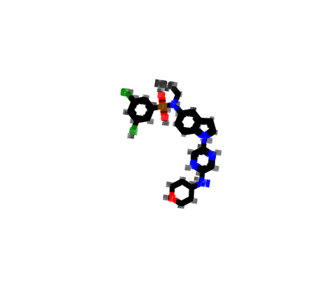 O=C(O)CN(c1ccc2c(ccn2-c2cnc(NC3CCOCC3)cn2)c1)S(=O)(=O)c1cc(Cl)cc(Cl)c1